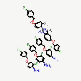 Cc1cc(OCc2ccc(F)cc2)ccc1N.Nc1ccc(OCc2ccc(F)cc2)c(Cl)c1.Nc1ccc(OCc2ccc(F)cc2)c(F)c1.Nc1ccc(OCc2ccc(F)cc2)cc1C(F)(F)F.Nc1ccc(OCc2ccc(F)cc2)cc1F